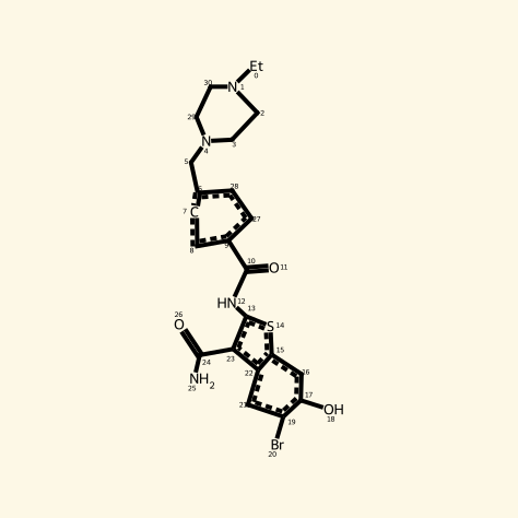 CCN1CCN(Cc2ccc(C(=O)Nc3sc4cc(O)c(Br)cc4c3C(N)=O)cc2)CC1